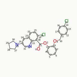 O=C(Oc1ccccc1OCc1ccc(Cl)cc1)c1c(Cl)ccc2cc(N3CCCC3)cnc12